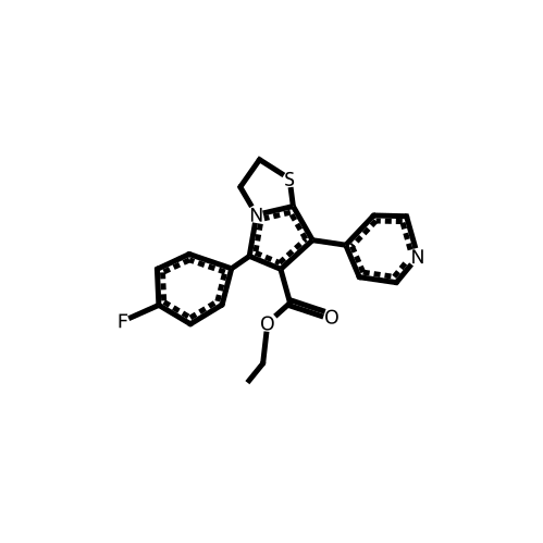 CCOC(=O)c1c(-c2ccncc2)c2n(c1-c1ccc(F)cc1)CCS2